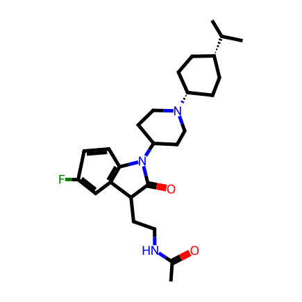 CC(=O)NCCC1C(=O)N(C2CCN([C@H]3CC[C@@H](C(C)C)CC3)CC2)c2ccc(F)cc21